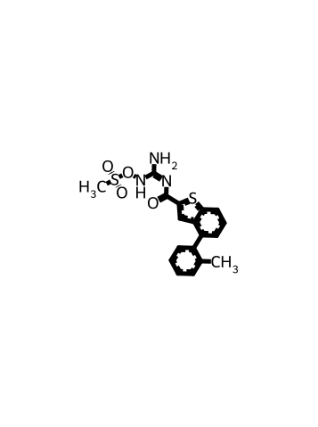 Cc1ccccc1-c1cccc2sc(C(=O)N=C(N)NOS(C)(=O)=O)cc12